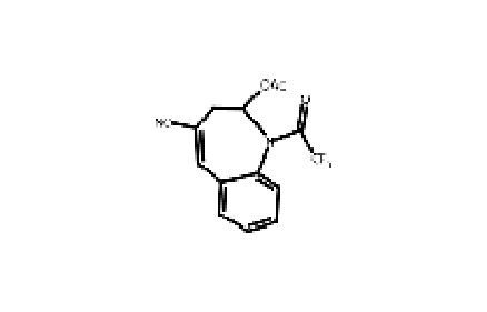 CC(=O)OC1CC(C#N)=Cc2ccccc2N1C(=O)C(F)(F)F